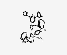 CCC1Nc2ccccc2N1c1ccc(-c2ccc(C#N)c(-c3ccccc3-c3ccccc3-c3cc(-c4ccccc4)nc(-c4ccccc4)c3)c2)c(N)c1